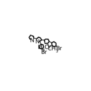 CC1(C)c2cc(Br)ccc2-c2ccc(-c3ccc(-c4ccccn4)nc3-c3ccc(Br)cc3)cc21